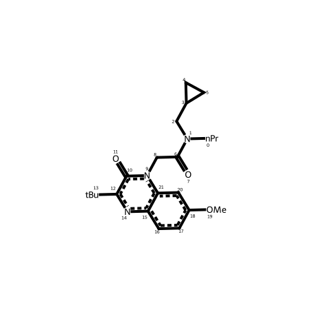 CCCN(CC1CC1)C(=O)Cn1c(=O)c(C(C)(C)C)nc2ccc(OC)cc21